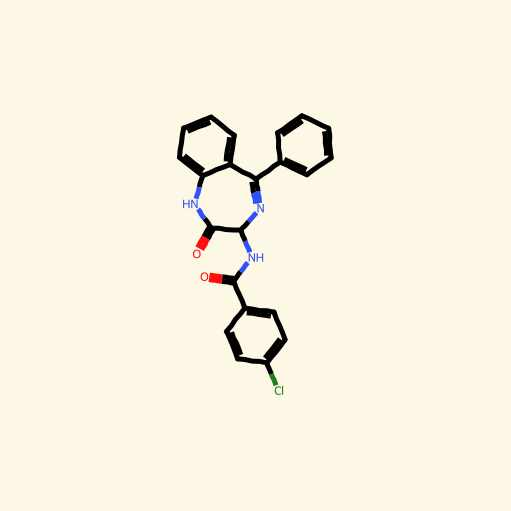 O=C(NC1N=C(c2ccccc2)c2ccccc2NC1=O)c1ccc(Cl)cc1